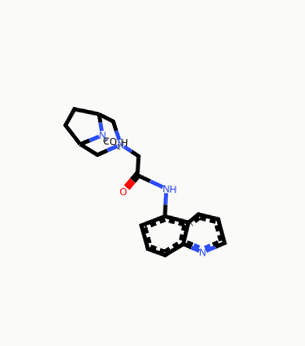 O=C(CN1CC2CCC(C1)N2C(=O)O)Nc1cccc2ncccc12